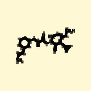 CCCCN[C@@H](CC(=O)NC[C@@H]1CCCN(C=NN)C1)C(=O)N(CCC(=O)O)C1CC1